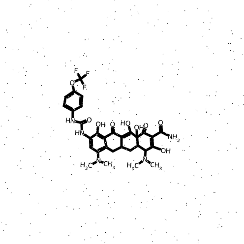 CN(C)c1cc(NC(=O)Nc2ccc(OC(F)(F)F)cc2)c(O)c2c1CC1CC3C(N(C)C)C(O)=C(C(N)=O)C(=O)C3(O)C(O)=C1C2=O